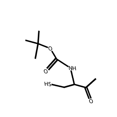 CC(=O)C(CS)NC(=O)OC(C)(C)C